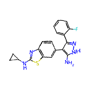 Nc1[nH]nc(-c2ccccc2F)c1-c1ccc2nc(NC3CC3)sc2c1